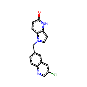 O=c1ccc2c(ccn2Cc2ccc3ncc(Cl)cc3c2)[nH]1